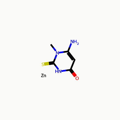 Cn1c(N)cc(=O)[nH]c1=S.[Zn]